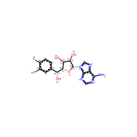 Nc1ncnc2c1ncn2[C@@H]1O[C@H]([C@H](O)c2ccc(F)c(F)c2)[C@@H](O)[C@H]1O